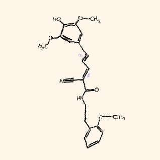 COc1ccccc1CCNC(=O)/C(C#N)=C/C=C/c1cc(OC)c(O)c(OC)c1